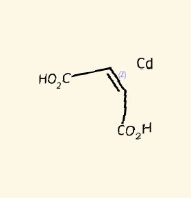 O=C(O)/C=C\C(=O)O.[Cd]